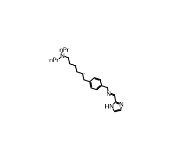 CCCN(CCC)CCCC[CH]Cc1ccc(CN=Cc2ncc[nH]2)cc1